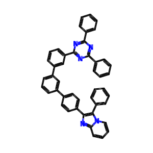 c1ccc(-c2nc(-c3ccccc3)nc(-c3cccc(-c4cccc(-c5ccc(-c6nc7ccccn7c6-c6ccccc6)cc5)c4)c3)n2)cc1